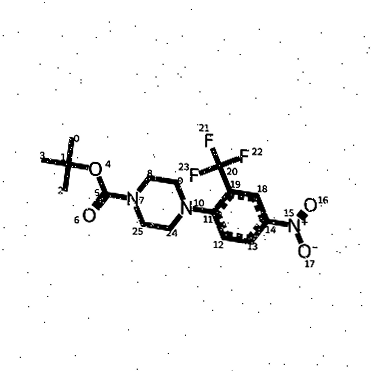 CC(C)(C)OC(=O)N1CCN(c2ccc([N+](=O)[O-])cc2C(F)(F)F)CC1